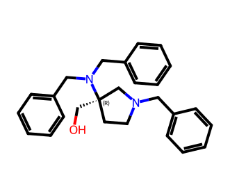 OC[C@@]1(N(Cc2ccccc2)Cc2ccccc2)CCN(Cc2ccccc2)C1